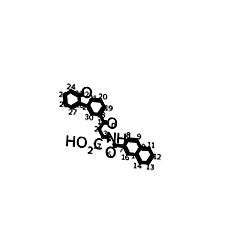 O=C(CC(NC(=O)c1ccc2ccccc2c1)C(=O)O)c1ccc2oc3ccccc3c2c1